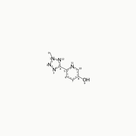 Cn1nnc(-c2ccc(O)cn2)n1